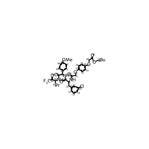 COc1ccc(C(NC(=O)C(Cc2cccc(Cl)c2)NC(=O)COc2ccc(OCC(=O)OC(C)(C)C)cc2)C(=O)NC(C(=O)C(F)(F)F)C(C)C)cc1